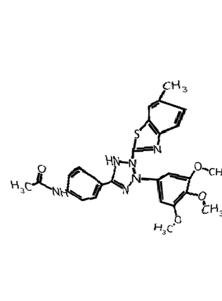 COc1cc(N2N=C(c3ccc(NC(C)=O)cc3)NN2c2nc3ccc(C)cc3s2)cc(OC)c1OC